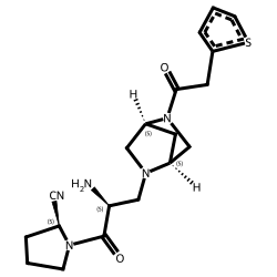 N#C[C@@H]1CCCN1C(=O)[C@@H](N)CN1C[C@@H]2C[C@H]1CN2C(=O)Cc1cccs1